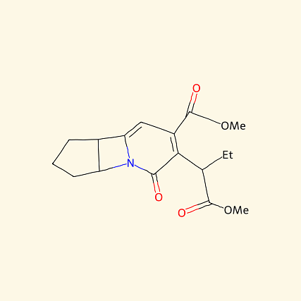 CCC(C(=O)OC)c1c(C(=O)OC)cc2n(c1=O)C1CCCC21